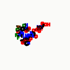 CCS(=O)(=O)c1cccnc1S(=O)(=O)NC(=O)Nc1nc(OC)cc(OC)n1.C[S+](C)C.Cc1nn(-c2cc(NS(C)(=O)=O)c(Cl)cc2Cl)c(=O)n1C(F)F.O=C(O)CNCP(=O)([O-])O